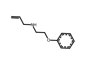 C=CCNCCOc1cc[c]cc1